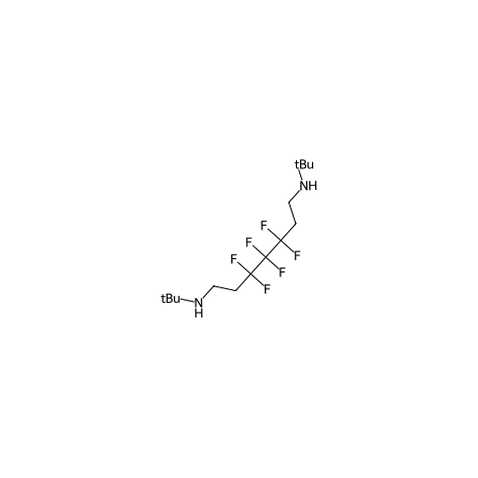 CC(C)(C)NCCC(F)(F)C(F)(F)C(F)(F)CCNC(C)(C)C